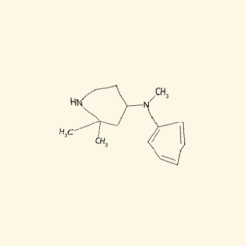 CN(c1ccccc1)C1CCNC(C)(C)C1